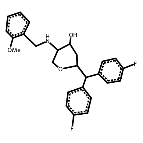 COc1ccccc1CNC1COC(C(c2ccc(F)cc2)c2ccc(F)cc2)CC1O